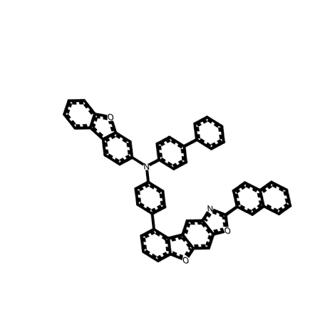 c1ccc(-c2ccc(N(c3ccc(-c4cccc5oc6cc7oc(-c8ccc9ccccc9c8)nc7cc6c45)cc3)c3ccc4c(c3)oc3ccccc34)cc2)cc1